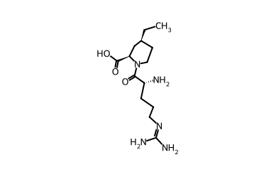 CC[C@H]1CCN(C(=O)[C@H](N)CCCN=C(N)N)[C@@H](C(=O)O)C1